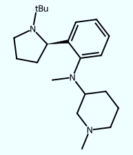 CN1CCCC(N(C)c2ccccc2[C@H]2CCCN2C(C)(C)C)C1